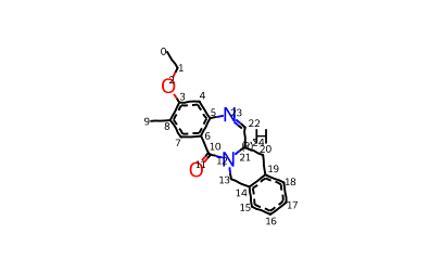 CCOc1cc2c(cc1C)C(=O)N1Cc3ccccc3C[C@@H]1C=N2